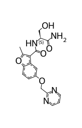 Cc1oc2ccc(OCc3ncccn3)cc2c1C(=O)N[C@@H](CO)C(N)=O